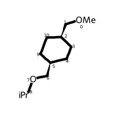 COC[C@H]1CC[C@@H](COC(C)C)CC1